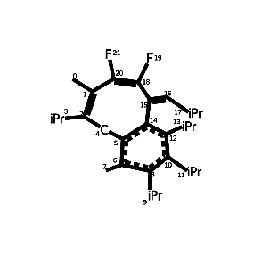 CC1=C(\C(C)C)Cc2c(C)c(C(C)C)c(C(C)C)c(C(C)C)c2C(=C\C(C)C)/C(F)=C\1F